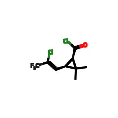 CC1(C)[C@H](C(=O)Cl)[C@@H]1C=C(Cl)C(F)(F)F